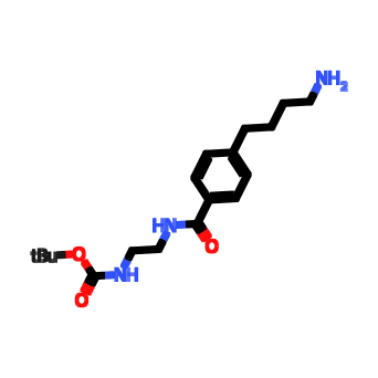 CC(C)(C)OC(=O)NCCNC(=O)c1ccc(CCCCN)cc1